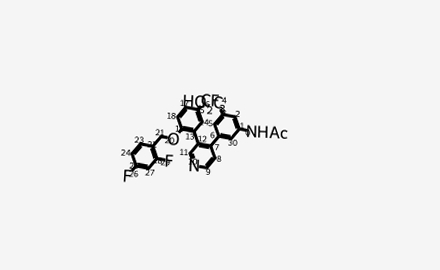 CC(=O)Nc1cc(C(=O)O)cc(-c2ccncc2-c2cc(C(F)(F)F)ccc2OCc2ccc(F)cc2F)c1